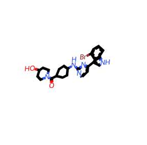 O=C(C1CCC(Nc2nccc(-c3c[nH]c4cccc(Br)c34)n2)CC1)N1CCC(O)CC1